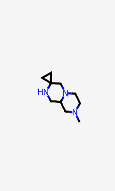 CN1CCN2CC3(CC3)NCC2C1